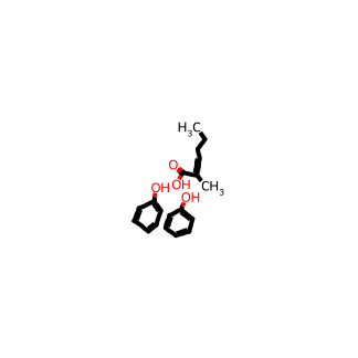 CCCC=C(C)C(=O)O.Oc1ccccc1.Oc1ccccc1